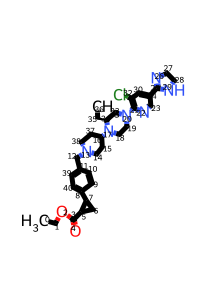 CCOC(=O)C1CC1c1ccc(CN2CCC(N3CCN(c4ncc(C5=NCCN5)cc4Cl)C[C@@H]3CC)CC2)cc1